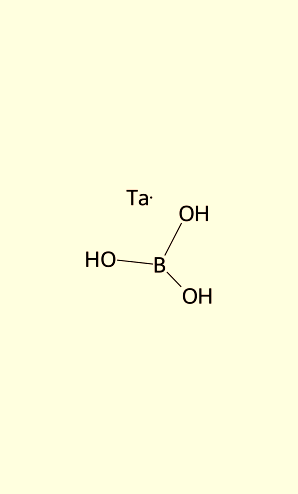 OB(O)O.[Ta]